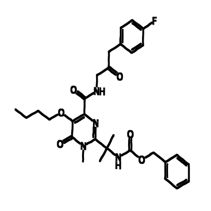 CCCCOc1c(C(=O)NCC(=O)Cc2ccc(F)cc2)nc(C(C)(C)NC(=O)OCc2ccccc2)n(C)c1=O